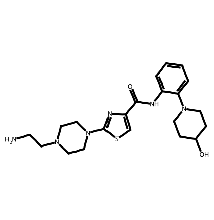 NCCN1CCN(c2nc(C(=O)Nc3ccccc3N3CCC(O)CC3)cs2)CC1